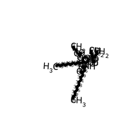 C=CCOC(=O)O[C@@H]1CO[C@H](OP(=O)(OCC=C)OCC=C)[C@H](NC(=O)CC(=O)CCCCCCCCCCC)C1OCCCCCCCCCC